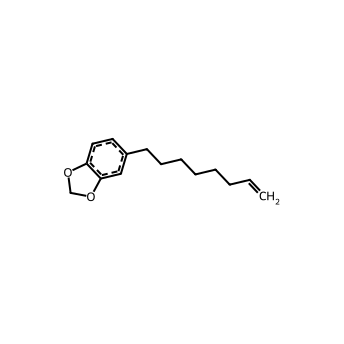 C=CCCCCCCc1ccc2c(c1)OCO2